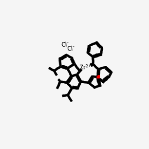 CC(C)c1cccc2c1-c1c(C(C)C)c(C(C)C)cc(C3=CC=CC3)c1[CH]2[Zr+2]=[C](c1ccccc1)c1ccccc1.[Cl-].[Cl-]